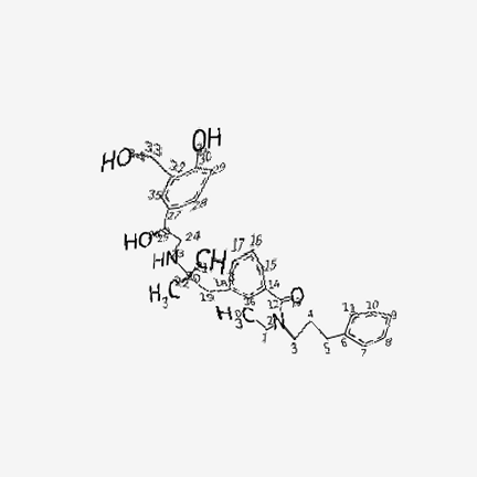 CCN(CCCc1ccccc1)C(=O)c1cccc(CC(C)(C)NC[C@@H](O)c2ccc(O)c(CO)c2)c1